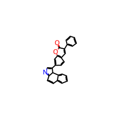 O=c1oc2cc(C3=CN=C4C=Cc5ccccc5C34)ccc2cc1-c1ccccc1